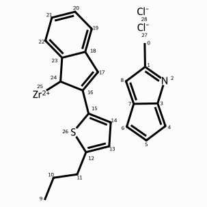 CC1=NC2=CC=CC2=C1.CCCc1ccc(C2=Cc3ccccc3[CH]2[Zr+2])s1.[Cl-].[Cl-]